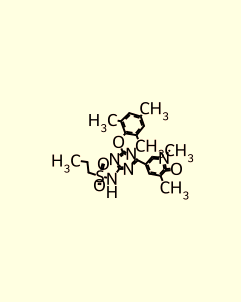 CCCS(=O)(=O)Nc1nc(Oc2c(C)cc(C)cc2C)nc(-c2cc(C)c(=O)n(C)c2)n1